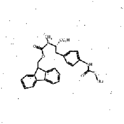 CN(C(=O)OCC1c2ccccc2-c2ccccc21)[C@@H](Cc1ccc(NC(=O)OC(C)(C)C)cc1)C(=O)O